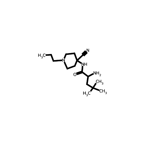 CCCN1CCC(C#N)(NC(=O)C(N)CC(C)(C)C)CC1